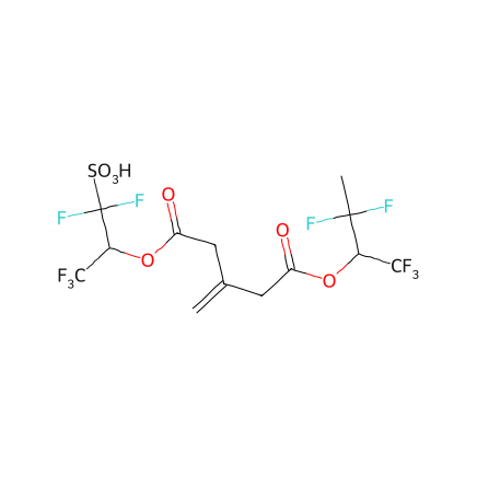 C=C(CC(=O)OC(C(C)(F)F)C(F)(F)F)CC(=O)OC(C(F)(F)F)C(F)(F)S(=O)(=O)O